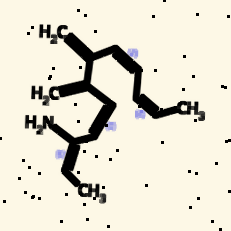 C=C(/C=C\C=C/C)C(=C)/C=C\C(N)=C/C